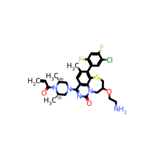 C=CC(=O)N1[C@H](C)CN(c2nc(=O)n3c4c(c(-c5cc(Cl)c(F)cc5F)c(C)cc24)SCC(OCCN)C3)C[C@@H]1C